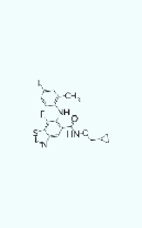 Cc1cc(I)ccc1Nc1c(C(=O)NOCC2CC2)cc2ncsc2c1F